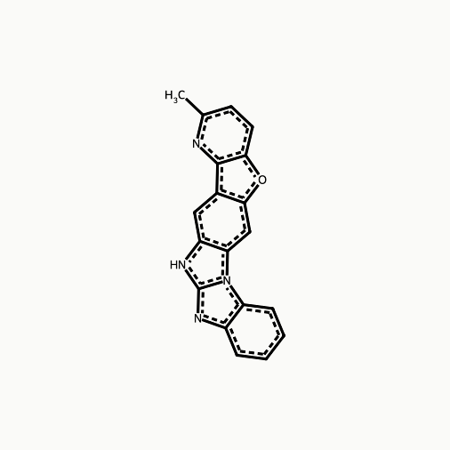 Cc1ccc2oc3cc4c(cc3c2n1)[nH]c1nc2ccccc2n14